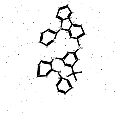 CC(C)(C)c1cc(Nc2ccccc2Nc2ccccc2)cc(Oc2ccc3c4ccccc4n(-c4ccccn4)c3c2)c1